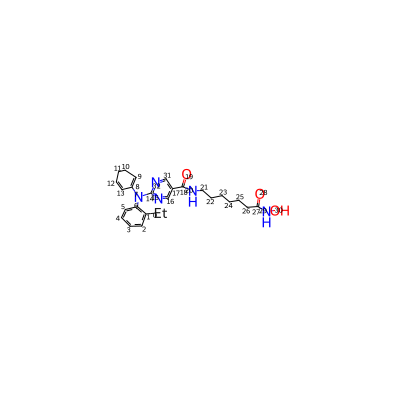 CCc1ccccc1N(C1=CCCC=C1)c1ncc(C(=O)NCCCCCCC(=O)NO)cn1